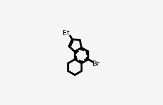 CCC1=Cc2c(cc(Br)c3c2CCCC3)C1